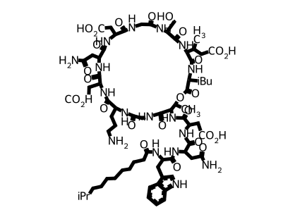 CCC(C)C1NC(=O)C(C(C)CC(=O)O)NC(=O)C(CO)NC(=O)CNC(=O)C(CC(=O)O)NC(=O)C(CC(N)=O)NC(=O)C(CC(=O)O)NC(=O)C(CCCN)NC(=O)CNC(=O)C(NC(=O)C(CC(=O)O)NC(=O)C(CC(N)=O)NC(=O)C(Cc2c[nH]c3ccccc23)NC(=O)CCCCCCCCC(C)C)C(C)OC1=O